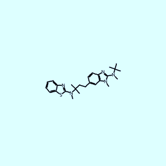 CN(c1nc2ccc(CCC(C)(C)N(C)c3nc4ccccc4s3)cc2n1C)C(C)(C)C